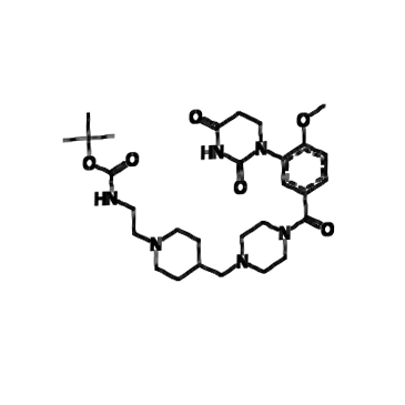 COc1ccc(C(=O)N2CCN(CC3CCN(CCNC(=O)OC(C)(C)C)CC3)CC2)cc1N1CCC(=O)NC1=O